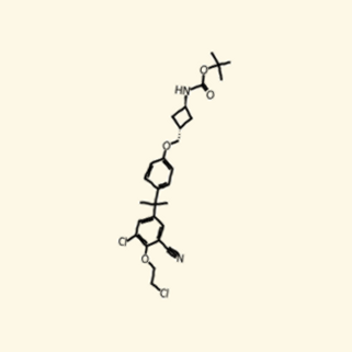 CC(C)(C)OC(=O)N[C@H]1C[C@H](COc2ccc(C(C)(C)c3cc(Cl)c(OCCCl)c(C#N)c3)cc2)C1